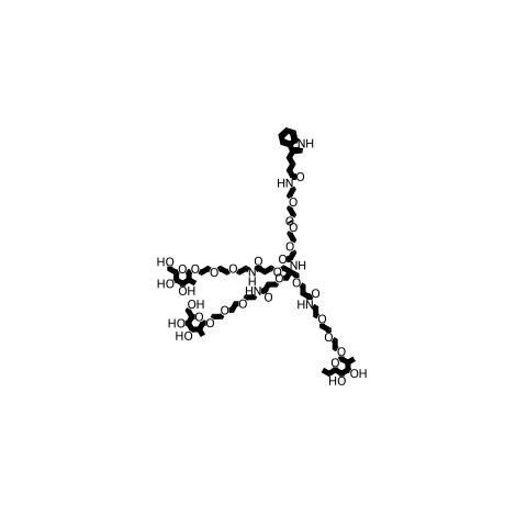 CCC1OC(OCCOCCOCCNC(=O)CCOCC(COCCC(=O)NCCOCCOCCOC2OC(CO)C(O)C(O)C2C)(COCCC(=O)NCCOCCOCCOC2OC(CO)C(O)C(O)C2C)NC(=O)COCCOOCCOCCNC(=O)CCCc2c[nH]c3ccccc23)C(C)C(O)C1O